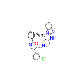 CCCCCn1c(NC2CCN(CCC(CN(C)C(=O)c3ccccc3)c3cccc(Cl)c3)CC2)nc2ccccc21